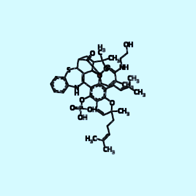 CC(C)=CCCC1(C)C=Cc2c(c(CC=C(C)C)c3c(c2OP(=O)(O)O)C2=C4C(Sc5ccccc5N2)C2CC5C(C)(C)OC(C/C=C(/C)C(=O)NCCO)(C2=O)C45O3)O1